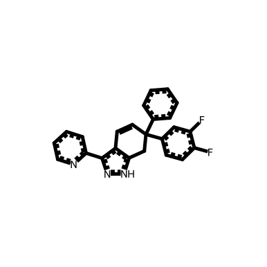 Fc1ccc(C2(c3ccccc3)C=Cc3c(-c4ccccn4)n[nH]c3C2)cc1F